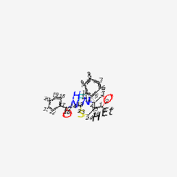 CC[C@H]1OC[C@]2(c3ccccc3F)N=C(NC(=O)c3ccccc3)SC[C@H]12